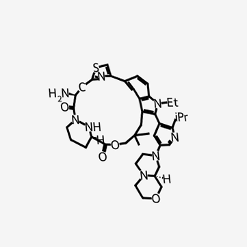 CCn1c(-c2cc(N3CCN4CCOC[C@@H]4C3)cnc2C(C)C)c2c3cc(ccc31)-c1csc(n1)C[C@H](N)C(=O)N1CCC[C@H](N1)C(=O)OCC(C)(C)C2